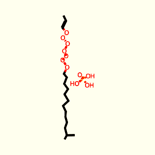 CC=COOOOOOOCCCCCCCCCCCC(C)C.O=P(O)(O)O